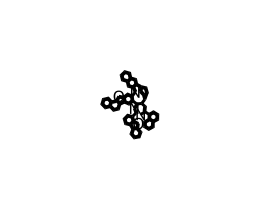 C1=C(c2cccc3ccccc23)N=C(c2cccc3c2oc2ccccc23)N=C2c3cc4c(cc3-n3c5cc(ccc5c5cc6ccccc6cc53)C12)oc1c2ccccc2ccc41